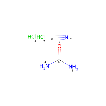 C#N.Cl.Cl.NC(N)=O